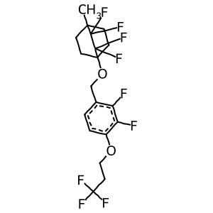 CC12CCC(OCc3ccc(OCCC(F)(F)F)c(F)c3F)(CC1)C(F)(F)C2(F)F